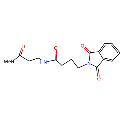 CNC(=O)CCNC(=O)CCCN1C(=O)c2ccccc2C1=O